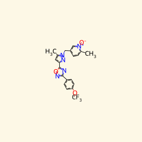 Cc1cc(-c2nc(-c3ccc(OC(F)(F)F)cc3)no2)nn1Cc1ccc(C)[n+]([O-])c1